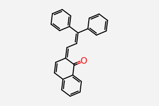 O=C1/C(=C\C=C(c2ccccc2)c2ccccc2)C=Cc2ccccc21